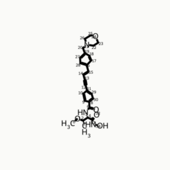 CO[C@H](C)[C@H](NC(=O)c1ccc(C#C/C=C/c2ccc(CN3CCOCC3)cc2)cc1)C(=O)NO